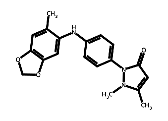 Cc1cc2c(cc1Nc1ccc(-n3c(=O)cc(C)n3C)cc1)OCO2